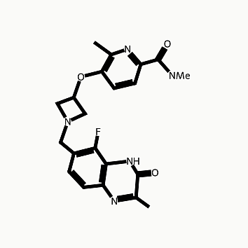 CNC(=O)c1ccc(OC2CN(Cc3ccc4nc(C)c(=O)[nH]c4c3F)C2)c(C)n1